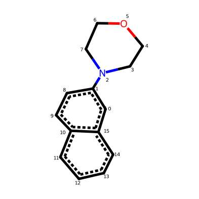 [c]1c(N2CCOCC2)ccc2ccccc12